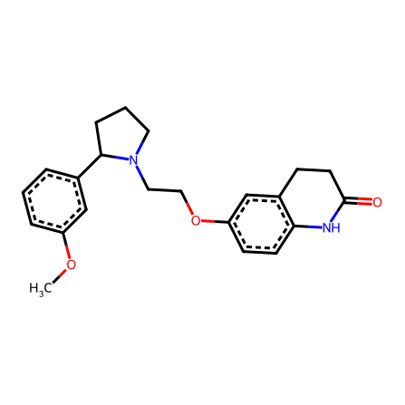 COc1cccc(C2CCCN2CCOc2ccc3c(c2)CCC(=O)N3)c1